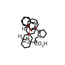 O=C(O)CN1CCC[C@H]1c1nc2ccccc2n1[C@H]1C[C@H]2CCC[C@@H](C1)N2[C@@H]1C[C@@H]2CCCC[C@@H](C2)C1